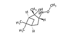 CON[C@@H]1C[C@@H]2C[C@@H](C2(C)C)[C@]1(C)O